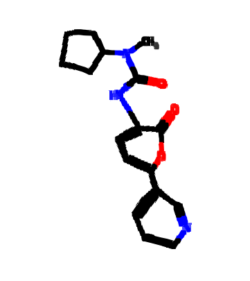 CN(C(=O)Nc1ccc(-c2cccnc2)oc1=O)C1CCCC1